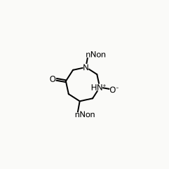 CCCCCCCCCC1CC(=O)CN(CCCCCCCCC)C[NH+]([O-])C1